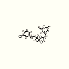 CC1CN(CC2COC(C)(C(C)(C)COc3cccc(Cl)c3)O2)CC(C)O1